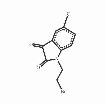 O=C1C(=O)N(CCBr)c2ccc(Cl)cc21